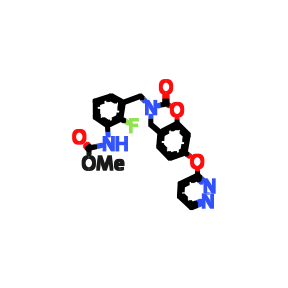 COC(=O)Nc1cccc(CN2Cc3ccc(Oc4cccnn4)cc3OC2=O)c1F